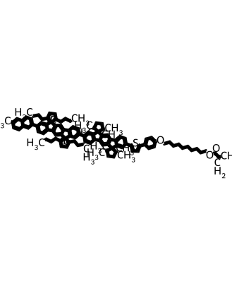 C=C(C)C(=O)OCCCCCCCCCCOc1ccc(-c2ccc(-c3ccc4c(c3)C3(c5cc6c(cc5-4)C4(c5cc(-c7ccc8c(c7)C7(c9cc%10c(cc9-8)C8(c9cc(-c%11ccc%12cc(C)ccc%12c%11)ccc9-%10)C9(CCCC)CCC8(CCCC)CC9)C8(CCCC)CCC7(CCCC)CC8)ccc5-6)C(C)(C)CCC4(C)C)C(C)(C)CCC3(C)C)s2)cc1